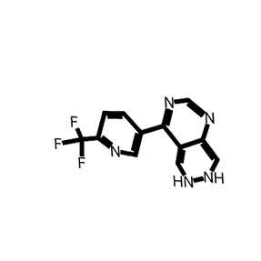 FC(F)(F)c1ccc(-c2ncnc3c2=CNNC=3)cn1